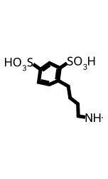 [NH]CCCCc1ccc(S(=O)(=O)O)cc1S(=O)(=O)O